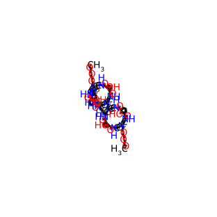 COCCOCCOCCN1CCNC(=O)c2cccc(c2O)C(=O)NCCN(CCN2CCNC(=O)c3cccc(c3O)C(=O)NCCN(CCOCCOCCOC)CCNC(=O)c3cccc(c3O)C(=O)NC(CCCCNC(=S)Nc3ccc(N=C=S)cc3)C2)CCNC(=O)c2cccc(c2O)C(=O)NCC1